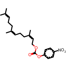 CC(C)=CCCC(C)=CCCC(C)=CCOC(=O)Oc1ccc([N+](=O)[O-])cc1